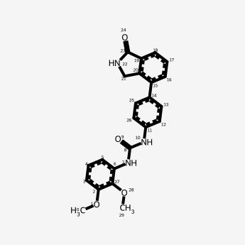 COc1cccc(NC(=O)Nc2ccc(-c3cccc4c3CNC4=O)cc2)c1OC